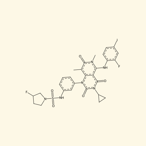 Cc1c(=O)n(C)c(Nc2ccc(I)cc2F)c2c(=O)n(C3CC3)c(=O)n(-c3cccc(NS(=O)(=O)N4CCC(F)C4)c3)c12